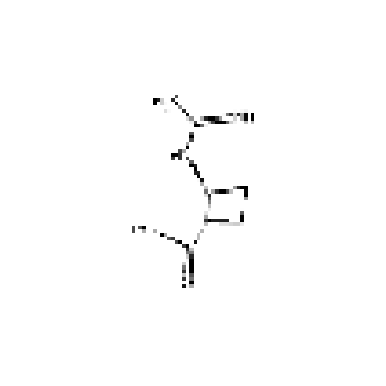 N=C(N)N[C@H]1CC[C@@H]1C(=O)O